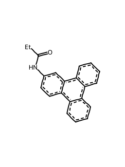 CCC(=O)Nc1ccc2c3ccccc3c3ccccc3c2c1